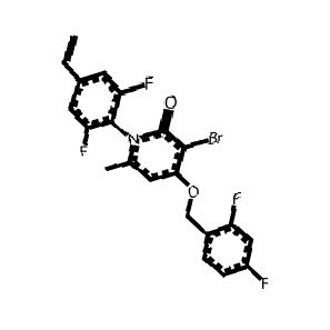 C=Cc1cc(F)c(-n2c(C)cc(OCc3ccc(F)cc3F)c(Br)c2=O)c(F)c1